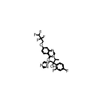 CC(n1cnc2cc(OCC(F)(F)C(F)F)ccc2c1=O)C(O)(Cn1cncn1)c1ccc(F)cc1F